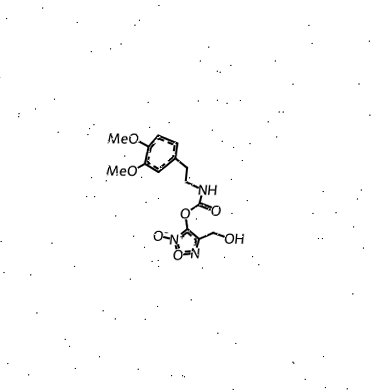 COc1ccc(CCNC(=O)Oc2c(CO)no[n+]2[O-])cc1OC